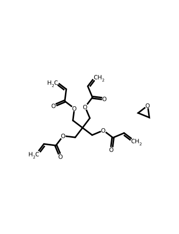 C1CO1.C=CC(=O)OCC(COC(=O)C=C)(COC(=O)C=C)COC(=O)C=C